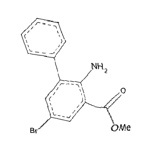 COC(=O)c1cc(Br)cc(-c2ccccc2)c1N